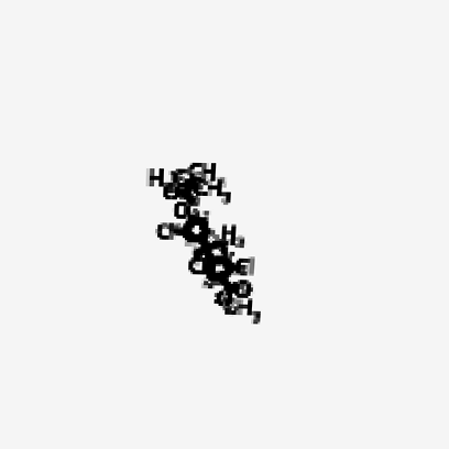 CCC(CC)(c1ccc(OCC(=O)C(C)(C)C)c(Cl)c1)c1ccc(C(=O)OC)c(Cl)c1